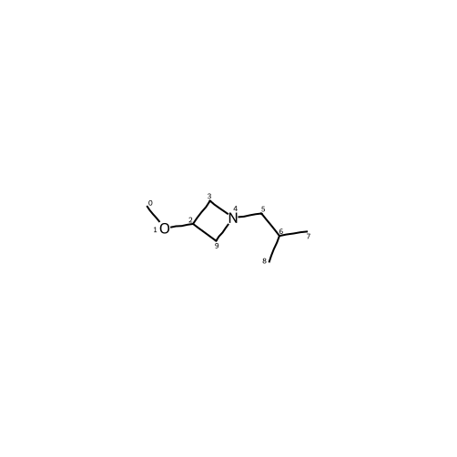 COC1CN(CC(C)C)C1